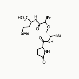 CC[C@H](C)[C@@H](COC(C(=O)N[C@@H](CCSC)C(=O)O)C(C)C)NC(=O)[C@@H]1CCC(=O)N1